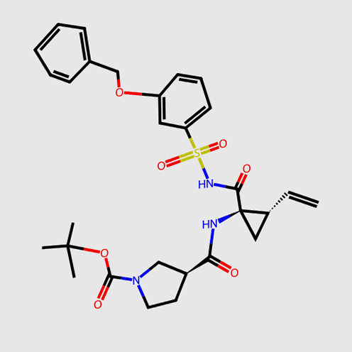 C=C[C@@H]1C[C@]1(NC(=O)[C@H]1CCN(C(=O)OC(C)(C)C)C1)C(=O)NS(=O)(=O)c1cccc(OCc2ccccc2)c1